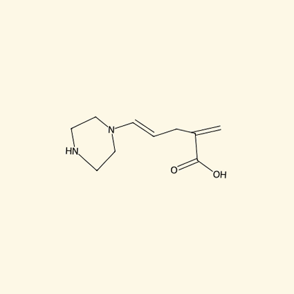 C=C(CC=CN1CCNCC1)C(=O)O